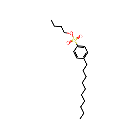 CCCCCCCCCCc1ccc(S(=O)(=O)OCCCC)cc1